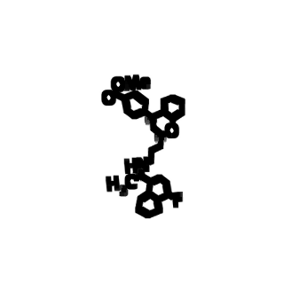 COC(=O)c1ccc([C@@H]2C[C@H](CCCN[C@H](C)c3ccc(F)c4ccccc34)Oc3ccccc32)cc1